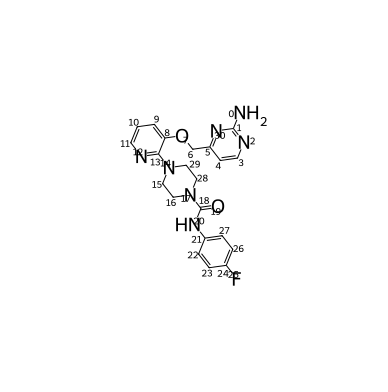 Nc1nccc(COc2cccnc2N2CCN(C(=O)Nc3ccc(F)cc3)CC2)n1